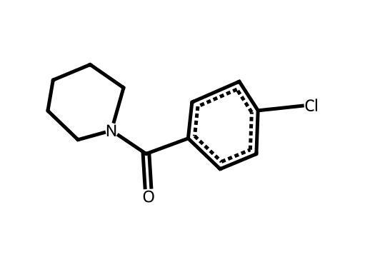 O=C(c1ccc(Cl)cc1)N1CCCCC1